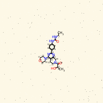 CCNC(=O)Nc1ccc(-c2nc3c(c(N4CCOCC4)n2)CCN(C(=O)C(C)O)C3)cc1